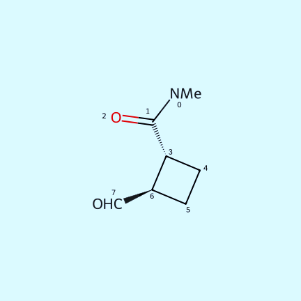 CNC(=O)[C@@H]1CC[C@H]1C=O